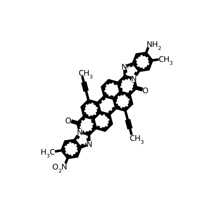 CC#Cc1cc2c(=O)n3c4cc(C)c(N)cc4nc3c3ccc4c5c(C#CC)cc6c(=O)n7c8cc(C)c([N+](=O)[O-])cc8nc7c7ccc(c1c4c23)c5c67